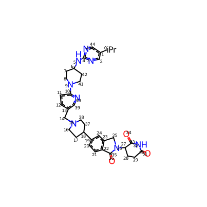 CC(C)c1cnc(NC2CCN(c3ccc(CN4CCC(c5ccc6c(c5)CN(C5CCC(=O)NC5=O)C6=O)CC4)cn3)CC2)nc1